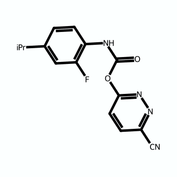 CC(C)c1ccc(NC(=O)Oc2ccc(C#N)nn2)c(F)c1